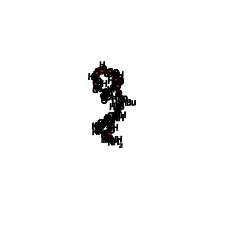 CCCCC(NC(=S)Nc1ccc(NC(=S)NCCCCC2NC(=O)C(CCCNC(=N)N)NC(=O)CNC(=O)C(CC(=O)O)NC(=O)C(Cc3ccc(O)cc3)NC2=O)cc1)C(=O)NCCOCCNC(=O)C1CCCN(C(=O)c2cccc(=O)n2O)CCCNC(=O)c2ccc(c(=O)n2O)C(=O)N[C@@H]2COC[C@@H]2NC(=O)c2ccc(n(O)c2=O)C(=O)NCCCN1C(=O)c1cccc(=O)n1O